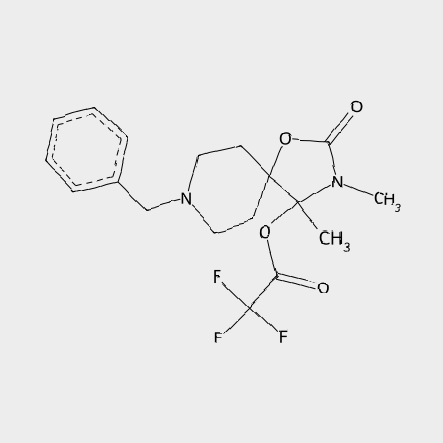 CN1C(=O)OC2(CCN(Cc3ccccc3)CC2)C1(C)OC(=O)C(F)(F)F